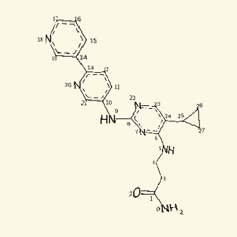 NC(=O)CCNc1nc(Nc2ccc(-c3cccnc3)nc2)ncc1C1CC1